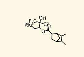 CC1C2CC(C(=O)OC(CC(C)(C)C)C(O)(C(F)(F)F)C(F)(F)F)C(C2)C1C